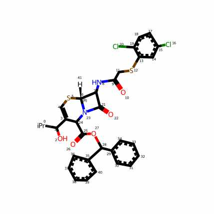 CC(C)C(O)C1=CS[C@@H]2C(NC(=O)CSc3cc(Cl)ccc3Cl)C(=O)N2C1C(=O)OC(c1ccccc1)c1ccccc1